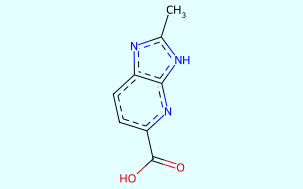 Cc1nc2ccc(C(=O)O)nc2[nH]1